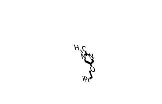 Cc1ncc(OCCC(C)C)cn1